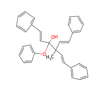 CC(C=Cc1ccccc1)(C=Cc1ccccc1)C(O)(C=Cc1ccccc1)Oc1ccccc1